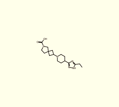 CCc1nc(C2CCN(C3CC4(CCN(C(=O)O)C4)C3)CC2)n[nH]1